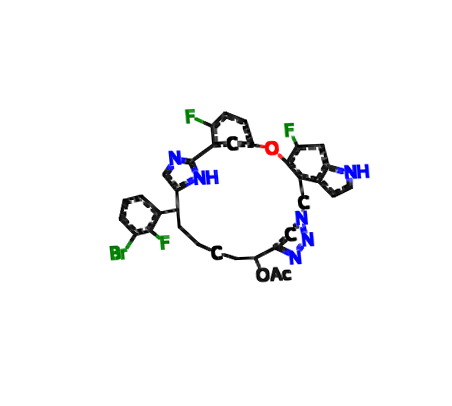 CC(=O)OC1CCCCC(c2cccc(Br)c2F)c2cnc([nH]2)-c2cc(ccc2F)Oc2c(F)cc3[nH]ccc3c2Cn2cc1nn2